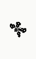 Cc1cc2c3c(c1)N(c1ccc(C(C)(C)C)cc1)c1c(oc4cc5c(cc14)C(C)(C)CCC5(C)C)B3c1cc3c(cc1N2c1ccc2c(c1)C(C)(C)CCC2(C)C)C(C)(C)CCC3(C)C